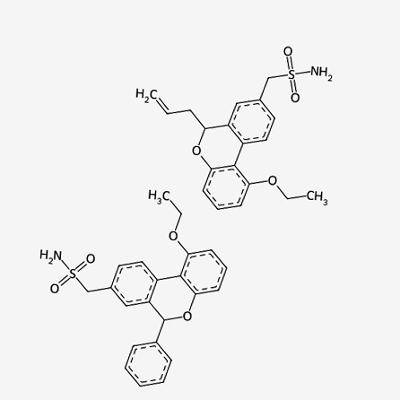 C=CCC1Oc2cccc(OCC)c2-c2ccc(CS(N)(=O)=O)cc21.CCOc1cccc2c1-c1ccc(CS(N)(=O)=O)cc1C(c1ccccc1)O2